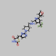 O=C1NC(=O)/C(=C/c2ccnc(N3CCC(CNCc4cc(C(F)(F)F)cc(-c5ccoc5)n4)CC3)n2)S1